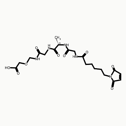 C[C@H](NC(=O)CNC(=O)CCCCCN1C(=O)C=CC1=O)C(=O)NCC(=O)NCOCC(=O)O